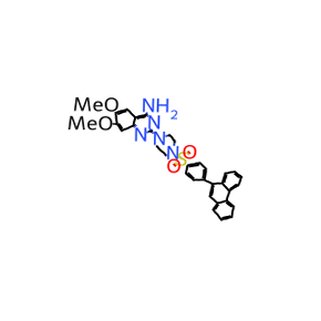 COc1cc2nc(N3CCN(S(=O)(=O)c4ccc(-c5cc6ccccc6c6ccccc56)cc4)CC3)nc(N)c2cc1OC